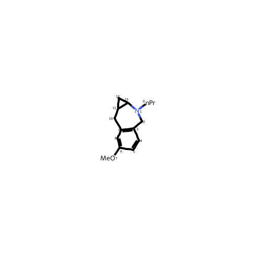 CCCN1Cc2ccc(OC)cc2CC2CC21